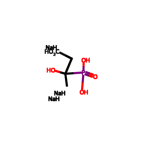 CC(O)(CC(=O)O)P(=O)(O)O.[NaH].[NaH].[NaH]